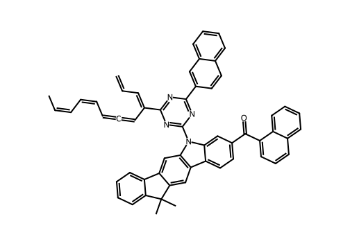 C=C/C=C(\C=C=C/C=C\C=C/C)c1nc(-c2ccc3ccccc3c2)nc(-n2c3cc(C(=O)c4cccc5ccccc45)ccc3c3cc4c(cc32)-c2ccccc2C4(C)C)n1